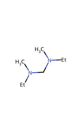 CCN(C)CN(C)CC